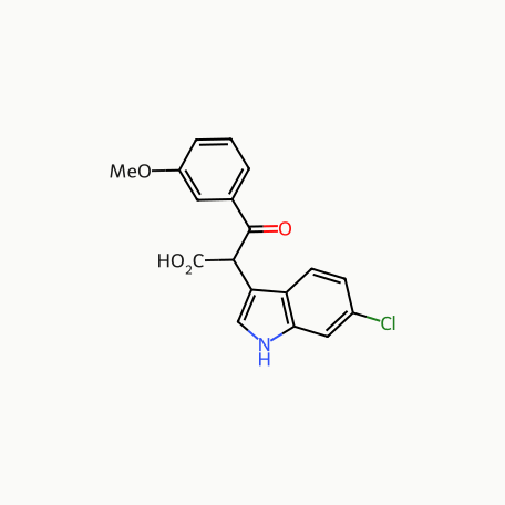 COc1cccc(C(=O)C(C(=O)O)c2c[nH]c3cc(Cl)ccc23)c1